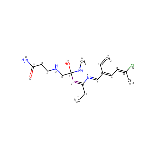 C=CC(/C=N/C(CC)=P\C(O)(CNCCC(N)=O)NC)=C\C=C(/C)Cl